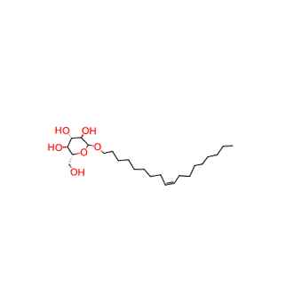 CCCCCCCC/C=C\CCCCCCCCOC1O[C@H](CO)[C@@H](O)[C@H](O)[C@H]1O